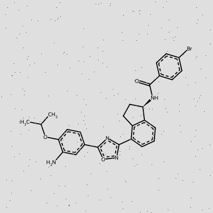 CC(C)Oc1ccc(-c2nc(-c3cccc4c3CC[C@H]4NC(=O)c3ccc(Br)cc3)no2)cc1N